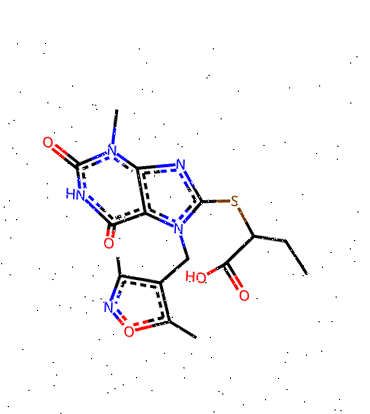 CCC(Sc1nc2c(c(=O)[nH]c(=O)n2C)n1Cc1c(C)noc1C)C(=O)O